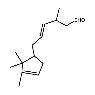 CC1=CCC(CC=CC(C)CC=O)C1(C)C